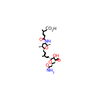 CC(C=C[C@H]1O[C@H](CC(N)=O)C[C@@]2(CO2)[C@@H]1O)=CC[C@@H]1O[C@H](C)[C@H](NC(=O)C=CC(C)CC(=O)O)C[C@@H]1C